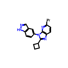 CC(C)c1ccc2nc(C3CCC3)n(-c3ccc4[nH]ncc4c3)c2n1